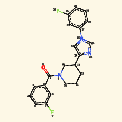 O=C(c1cccc(F)c1)N1CCCC(c2cn(-c3cccc(F)c3)cn2)C1